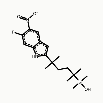 CC(C)(CCC(C)(C)[Si](C)(C)O)c1cc2cc([N+](=O)[O-])c(F)cc2[nH]1